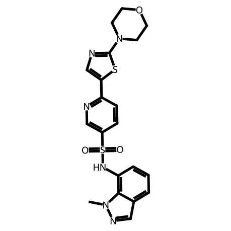 Cn1ncc2cccc(NS(=O)(=O)c3ccc(-c4cnc(N5CCOCC5)s4)nc3)c21